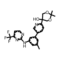 Cc1cc(Nc2nccc(C(F)(F)F)n2)cc(-c2ccc(C3(O)COC(C)(C)OC3)nc2)c1